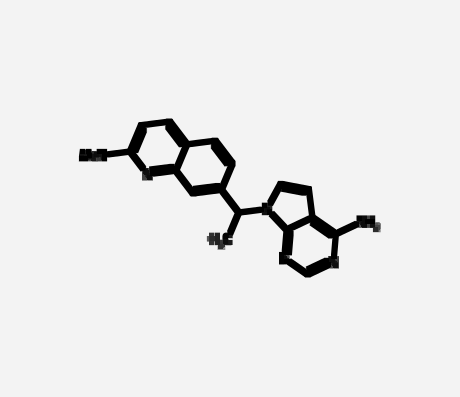 [CH2]C(c1ccc2ccc(NC)nc2c1)n1ccc2c(N)ncnc21